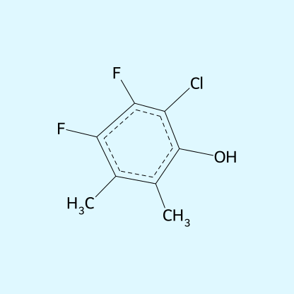 Cc1c(C)c(F)c(F)c(Cl)c1O